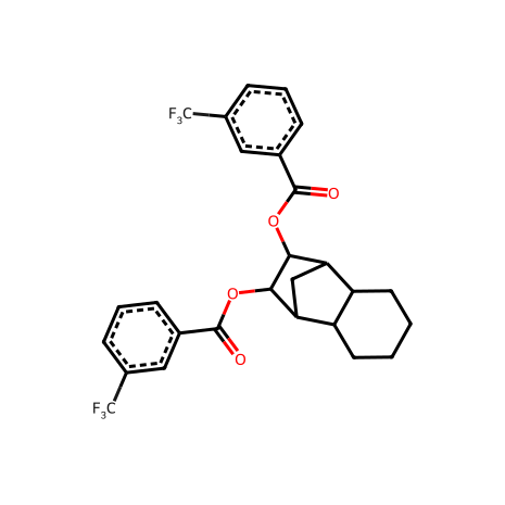 O=C(OC1C2CC(C3CCCCC32)C1OC(=O)c1cccc(C(F)(F)F)c1)c1cccc(C(F)(F)F)c1